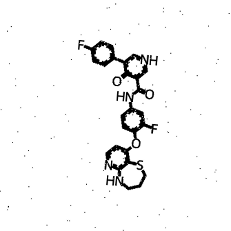 O=C(Nc1ccc(Oc2ccnc3c2SCCCN3)c(F)c1)c1c[nH]cc(-c2ccc(F)cc2)c1=O